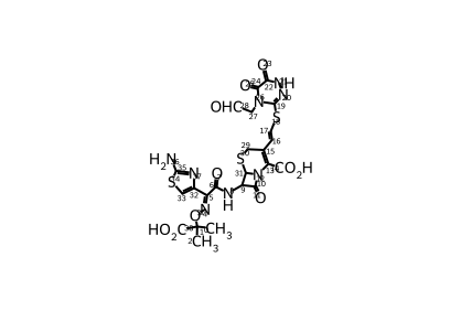 CC(C)(ON=C(C(=O)NC1C(=O)N2C(C(=O)O)=C(C=CSc3n[nH]c(=O)c(=O)n3CC=O)CSC12)c1csc(N)n1)C(=O)O